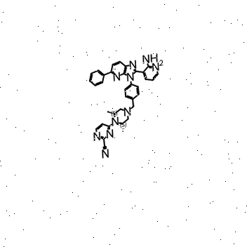 C[C@H]1CN(Cc2ccc(-n3c(-c4cccnc4N)nc4ccc(-c5ccccc5)nc43)cc2)C[C@H](C)N1c1ccnc(C#N)n1